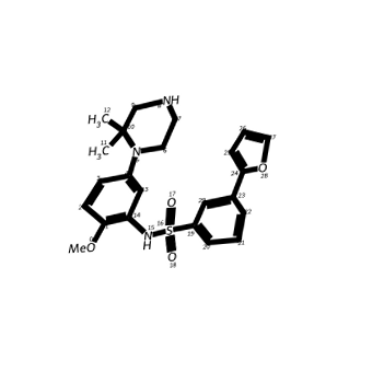 COc1ccc(N2CCNCC2(C)C)cc1NS(=O)(=O)c1cccc(-c2ccco2)c1